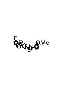 COc1cccc(-c2csc(N3CCC(S(=O)(=O)c4cc(F)ccc4C)CC3)n2)c1